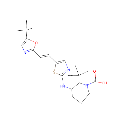 CC(C)(C)c1cnc(/C=C/c2cnc(NC3CCCN(C(=O)O)C3C(C)(C)C)s2)o1